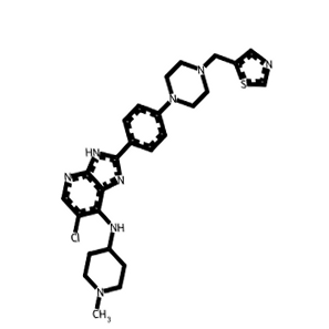 CN1CCC(Nc2c(Cl)cnc3[nH]c(-c4ccc(N5CCN(Cc6cncs6)CC5)cc4)nc23)CC1